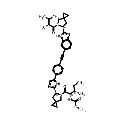 CC[C@H](C)[C@H](NC(=O)OC)C(=O)N1CC2(CC2)C[C@H]1c1ncc(-c2ccc(C#Cc3ccc4nc([C@@H]5CC6(CC6)CN5C(=O)[C@@H](C)C(C)C)[nH]c4c3)cc2)[nH]1